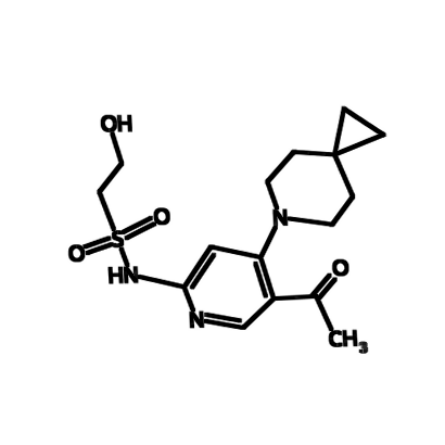 CC(=O)c1cnc(NS(=O)(=O)CCO)cc1N1CCC2(CC1)CC2